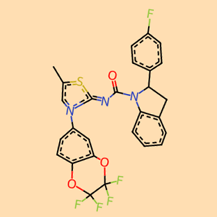 Cc1cn(-c2ccc3c(c2)OC(F)(F)C(F)(F)O3)/c(=N/C(=O)N2c3ccccc3CC2c2ccc(F)cc2)s1